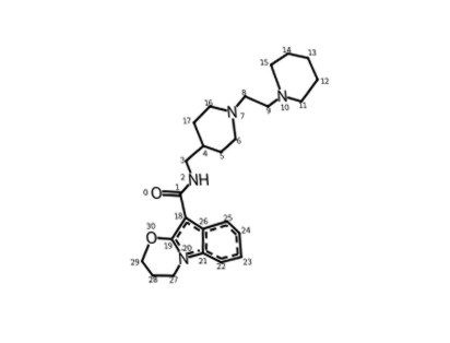 O=C(NCC1CCN(CCN2CCCCC2)CC1)c1c2n(c3ccccc13)CCCO2